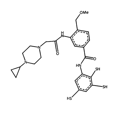 COCc1ccc(C(=O)Nc2cc(S)cc(S)c2S)cc1NC(=O)CN1CCN(C2CC2)CC1